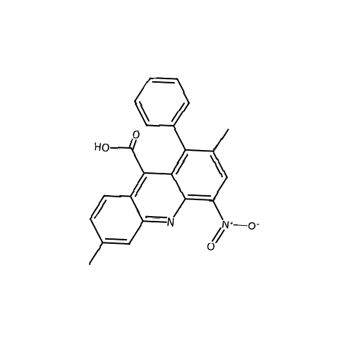 Cc1ccc2c(C(=O)O)c3c(-c4ccccc4)c(C)cc([N+](=O)[O-])c3nc2c1